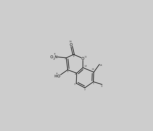 Cc1ccc2c(O)c([N+](=O)[O-])c(=O)oc2c1C